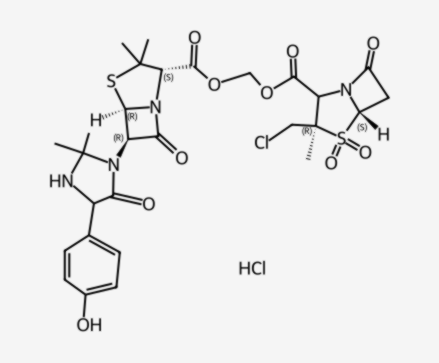 CC1(C)S[C@@H]2[C@H](N3C(=O)C(c4ccc(O)cc4)NC3(C)C)C(=O)N2[C@H]1C(=O)OCOC(=O)C1N2C(=O)C[C@@H]2S(=O)(=O)[C@@]1(C)CCl.Cl